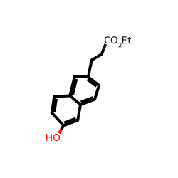 CCOC(=O)CCc1ccc2cc(O)ccc2c1